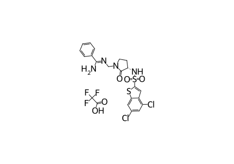 NC(=NCN1CC[C@H](NS(=O)(=O)c2cc3c(Cl)cc(Cl)cc3s2)C1=O)c1ccccc1.O=C(O)C(F)(F)F